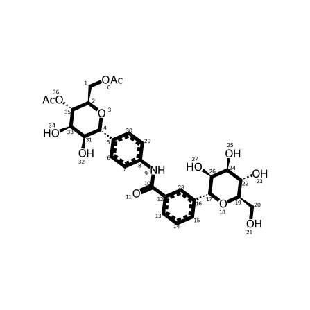 CC(=O)OC[C@H]1O[C@H](c2ccc(NC(=O)c3cccc([C@H]4O[C@H](CO)[C@@H](O)[C@H](O)[C@@H]4O)c3)cc2)[C@@H](O)[C@@H](O)[C@@H]1OC(C)=O